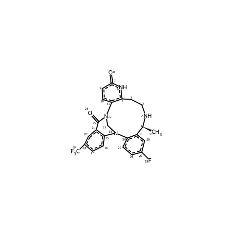 C[C@@H]1NCCc2[nH]c(=O)ccc2N2CN(c3ccc(C(F)(F)F)cc3C2=O)c2ccc(F)cc21